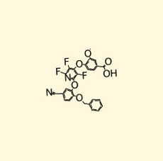 COc1cc(C(=O)O)ccc1Oc1c(F)c(F)nc(Oc2cc(C#N)ccc2OCc2ccccc2)c1F